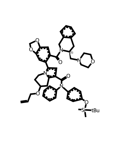 C=CCOC1CCn2c(-c3cc4c(cc3C(=O)N3Cc5ccccc5C[C@H]3CN3CCOCC3)OCO4)cc(C(=O)N(c3ccccc3)c3ccc(O[Si](C)(C)C(C)(C)C)cc3)c2C1